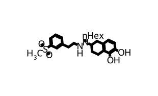 CCCCCCN(NCCc1cccc(S(C)(=O)=O)c1)C1CCc2c(ccc(O)c2O)C1